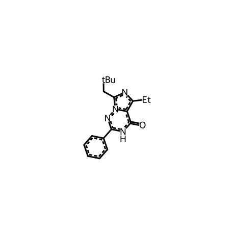 CCc1nc(CC(C)(C)C)n2nc(-c3ccccc3)[nH]c(=O)c12